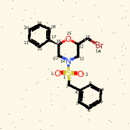 O=S(=O)(Cc1ccccc1)N1CC(CBr)O[C@H](c2ccccc2)C1